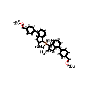 CCCCCCS(CCCCCC)(C1c2cccc(-c3ccc(COC(C)(C)C)cc3)c2CC1C)C1c2cccc(-c3ccc(COC(C)(C)C)cc3)c2CC1C